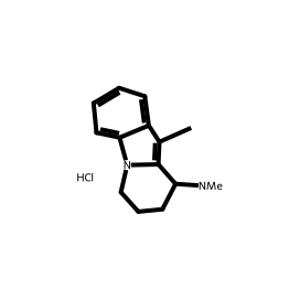 CNC1CCCn2c1c(C)c1ccccc12.Cl